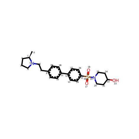 C[C@@H]1CCCN1CCc1ccc(-c2ccc(S(=O)(=O)N3CCC(O)CC3)cc2)cc1